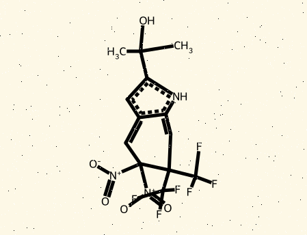 CC(C)(O)c1cc2c([nH]1)=CC(C(F)(F)F)(C(F)(F)F)C([N+](=O)[O-])([N+](=O)[O-])C=2